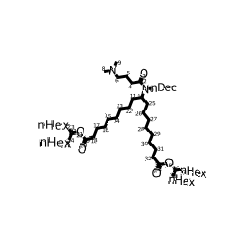 CCCCCCCCCCN(C(=O)CCCN(C)C)C(CCCCCCCCC(=O)OC(CCCCCC)CCCCCC)CCCCCCCCC(=O)OC(CCCCCC)CCCCCC